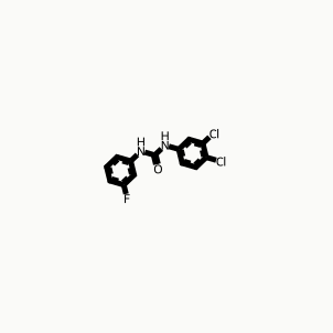 O=C(Nc1cccc(F)c1)Nc1ccc(Cl)c(Cl)c1